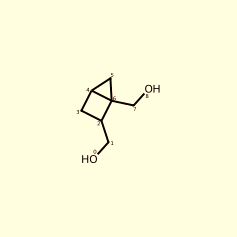 OCC1CC2CC12CO